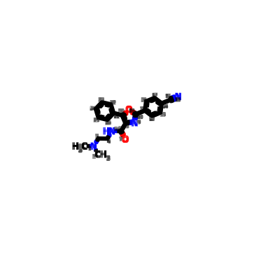 CN(C)CCNC(=O)c1nc(-c2ccc(C#N)cc2)oc1-c1ccccc1